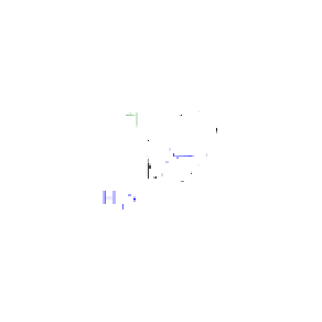 CN1C2CCC1CC(N)C2.Cl